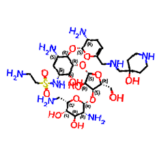 NCCS(=O)(=O)N[C@@H]1C[C@H](N)[C@@H](O[C@H]2OC(CNCC3(O)CCNCC3)=CC[C@H]2N)[C@H](O[C@@H]2O[C@H](CO)[C@@H](O[C@H]3O[C@@H](CN)[C@@H](O)[C@H](O)[C@H]3N)[C@H]2O)[C@H]1O